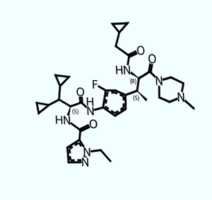 CCn1nccc1C(=O)N[C@H](C(=O)Nc1ccc([C@H](C)[C@@H](NC(=O)CC2CC2)C(=O)N2CCN(C)CC2)cc1F)C(C1CC1)C1CC1